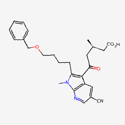 C[C@@H](CC(=O)O)CC(=O)c1c(CCCCOCc2ccccc2)n(C)c2ncc(C#N)cc12